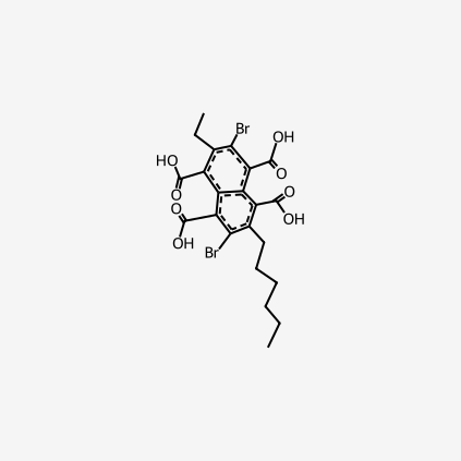 CCCCCCc1c(Br)c(C(=O)O)c2c(C(=O)O)c(CC)c(Br)c(C(=O)O)c2c1C(=O)O